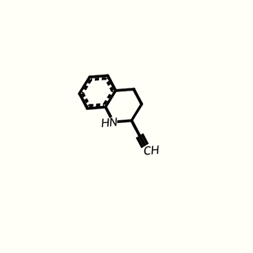 C#CC1CCc2ccccc2N1